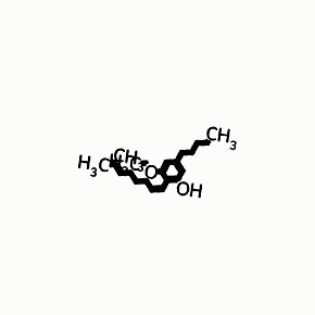 CCCCCc1cc(O)c(/C=C\CCCC=C(C)C)c(OCC)c1